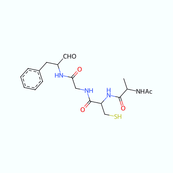 CC(=O)NC(C)C(=O)NC(CS)C(=O)NCC(=O)NC(C=O)Cc1ccccc1